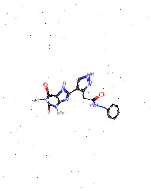 CCCn1c(=O)c2[nH]c(-c3c[nH]nc3CC(=O)Nc3ccccc3)nc2n(CCC)c1=O